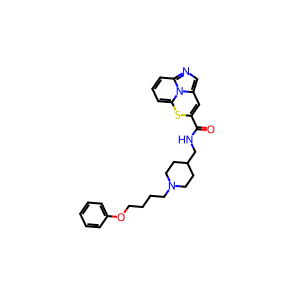 O=C(NCC1CCN(CCCCOc2ccccc2)CC1)C1=Cc2cnc3cccc(n23)S1